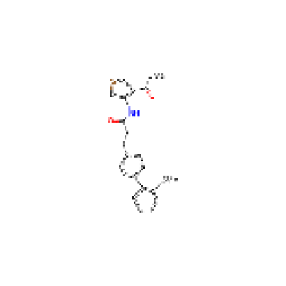 COC(=O)c1cscc1NC(=O)CCc1ccc(-c2ccccc2SC)cc1